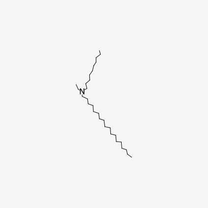 CCCCCCCCCCCCCCCCCCN(CC)CCCCCCCCCC